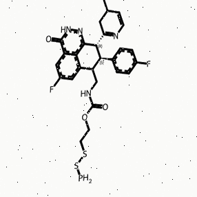 CC1C=CN=C([C@H]2c3n[nH]c(=O)c4cc(F)cc(c34)C(CNC(=O)OCCSSP)[C@@H]2c2ccc(F)cc2)C1